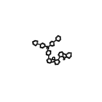 c1ccc(-c2ccc(N(c3ccc(-c4ccccc4)cc3)c3ccc(-c4cccc5c4oc4c(-c6cccc7c6sc6ccccc67)cccc45)cc3)cc2)cc1